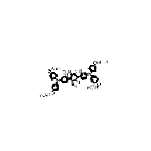 CCCCCCCCOc1ccc(N(c2ccc(OCCCCCCCC)cc2)c2ccc(-c3c([N+](=O)[O-])c([N+](=O)[O-])c(-c4ccc(N(c5ccc(OCCCCCCCC)cc5)c5ccc(OCCCCCCCC)cc5)cc4)c4nsnc34)cc2)cc1